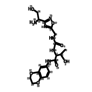 CC(O)C(NC(=O)NCc1nc([C@@H](N)CO)no1)C(=O)Nc1ccc2c(c1)OCCO2